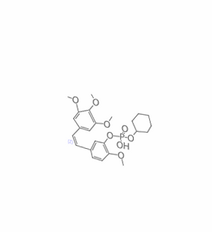 COc1ccc(/C=C\c2cc(OC)c(OC)c(OC)c2)cc1OP(=O)(O)OC1CCCCC1